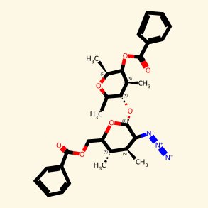 CC1O[C@@H](C)C(OC(=O)c2ccccc2)[C@@H](C)[C@@H]1O[C@H]1OC(COC(=O)c2ccccc2)[C@@H](C)[C@H](C)C1N=[N+]=[N-]